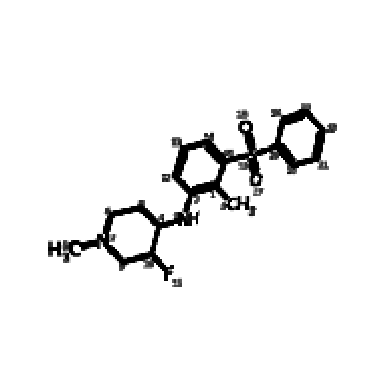 Cc1c(NC2CCN(C)CC2F)cccc1S(=O)(=O)c1ccccc1